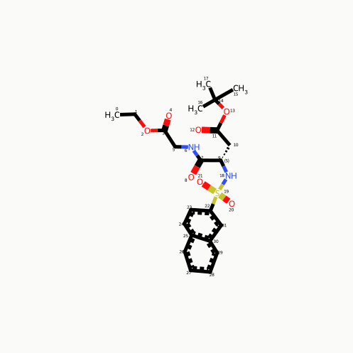 CCOC(=O)CNC(=O)[C@H](CC(=O)OC(C)(C)C)NS(=O)(=O)c1ccc2ccccc2c1